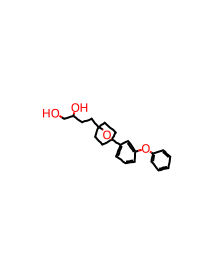 OCC(O)CCC12CCC(c3cccc(Oc4ccccc4)c3)(CC1)OC2